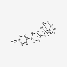 Oc1ccc(C2CCN(CC34CC5CC(CC(C5)C3)C4)CC2)cc1